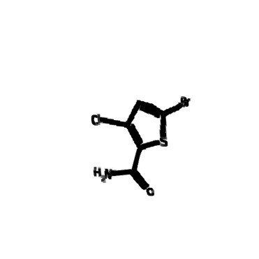 NC(=O)c1sc(Br)cc1Cl